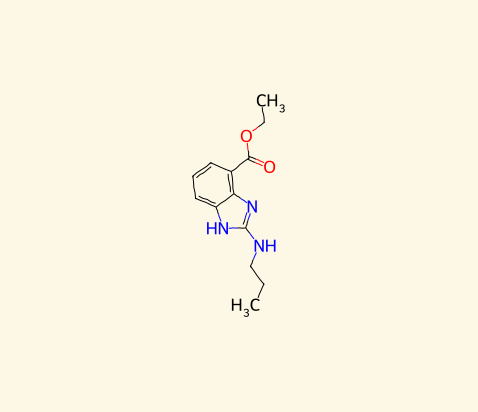 CCCNc1nc2c(C(=O)OCC)cccc2[nH]1